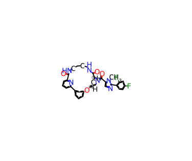 Cn1c(C(=O)N2C[C@@H]3C[C@H]2C(=O)NCCCCNC(=O)c2cccc(n2)-c2cccc(c2)O3)cnc1-c1ccc(F)cc1F